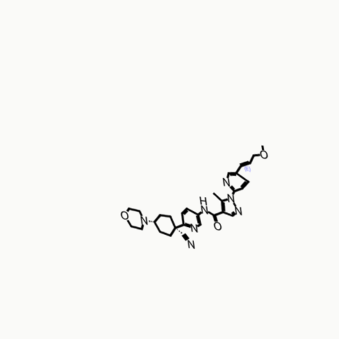 COC/C=C/c1ccc(-n2ncc(C(=O)Nc3ccc([C@]4(C#N)CC[C@@H](N5CCOCC5)CC4)nc3)c2C)nc1